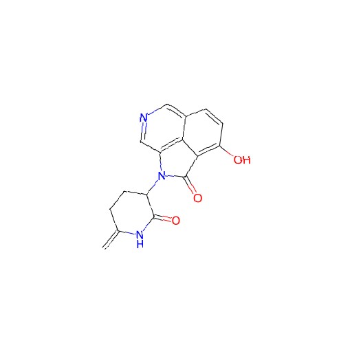 C=C1CCC(N2C(=O)c3c(O)ccc4cncc2c34)C(=O)N1